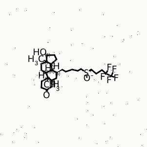 C[C@]12CCC(=O)C[C@@H]1C[C@H](CCCCC[S+]([O-])CCCC(F)(F)C(F)(F)F)[C@@H]1[C@@H]2CC[C@]2(C)[C@@H](O)CC[C@@H]12